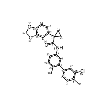 Cc1ccc(-c2cc(NC(=O)C3(c4ccc5c(c4)OCO5)CC3)ccc2C)cc1Cl